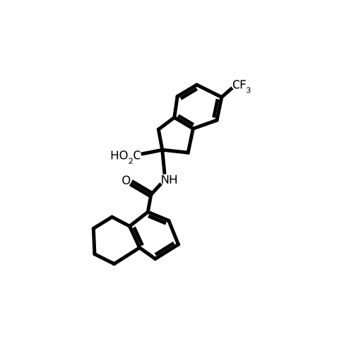 O=C(NC1(C(=O)O)Cc2ccc(C(F)(F)F)cc2C1)c1cccc2c1CCCC2